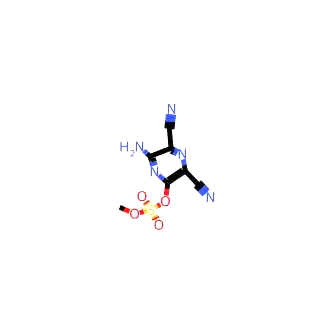 COS(=O)(=O)Oc1nc(N)c(C#N)nc1C#N